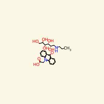 CCCNC[C@H](O)[C@@H](O)[C@@H](O)[C@H](O)CO.O=C(O)Cn1c2ccccc2c(=O)c2ccccc21